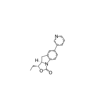 CC[C@@H]1OC(=O)N2c3ccc(-c4cccnc4)cc3C[C@H]12